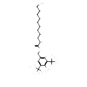 CCCCCCCCCCCC(=O)OCc1cc(C(C)(C)C)c(O)c(C(C)(C)C)c1